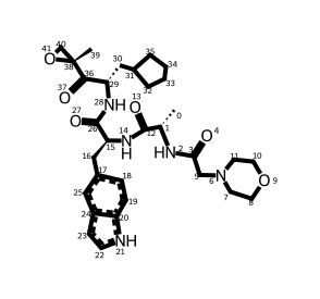 C[C@H](NC(=O)CN1CCOCC1)C(=O)N[C@@H](Cc1ccc2[nH]ccc2c1)C(=O)N[C@@H](CC1CCCC1)C(=O)[C@@]1(C)CO1